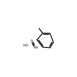 Cc1ccccc1.Cl.N=O